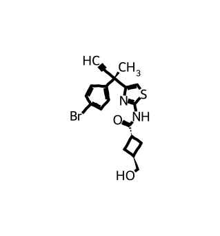 C#C[C@@](C)(c1ccc(Br)cc1)c1csc(NC(=O)[C@H]2C[C@H](CO)C2)n1